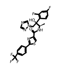 C[C@@H](NC(=O)c1csc(-c2ccc(C(F)(F)F)cc2)n1)[C@](O)(Cn1cncn1)c1ccc(F)cc1F